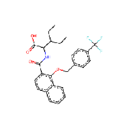 CCC(CC)C(NC(=O)c1ccc2ccccc2c1OCc1ccc(C(F)(F)F)cc1)C(=O)O